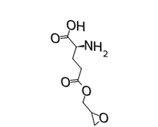 N[C@@H](CCC(=O)OCC1CO1)C(=O)O